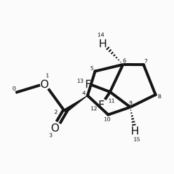 COC(=O)[C@H]1C[C@H]2CC[C@@H](C1)C2(F)F